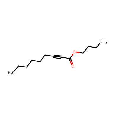 CCCCCCC#CC(=O)OCCCC